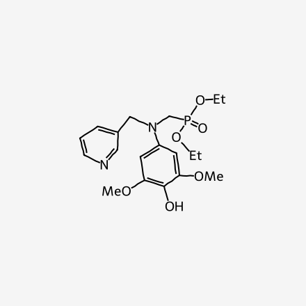 CCOP(=O)(CN(Cc1cccnc1)c1cc(OC)c(O)c(OC)c1)OCC